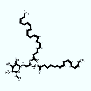 CC/C=C\C/C=C\C/C=C\C/C=C\C/C=C\CCCC(=O)O[C@H](COC(=O)CCCCC/C=C\C/C=C\C/C=C\CC)CO[C@@H]1O[C@H](CO)[C@H](O)C(O)C1O